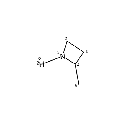 [2H]N1CCC1C